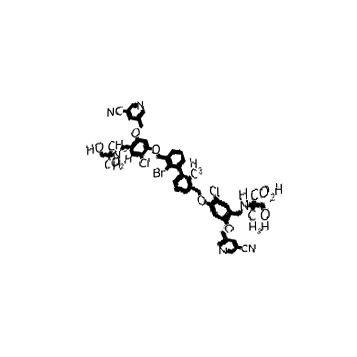 Cc1c(COc2cc(OCc3cncc(C#N)c3)c(CNC(C)(CO)C(=O)O)cc2Cl)cccc1-c1cccc(COc2cc(OCc3cncc(C#N)c3)c(CN[C@@](C)(CO)C(=O)O)cc2Cl)c1Br